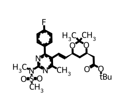 Cc1nc(N(C)S(C)(=O)=O)nc(-c2ccc(F)cc2)c1/C=C/[C@@H]1C[C@H](CC(=O)OC(C)(C)C)OC(C)(C)O1